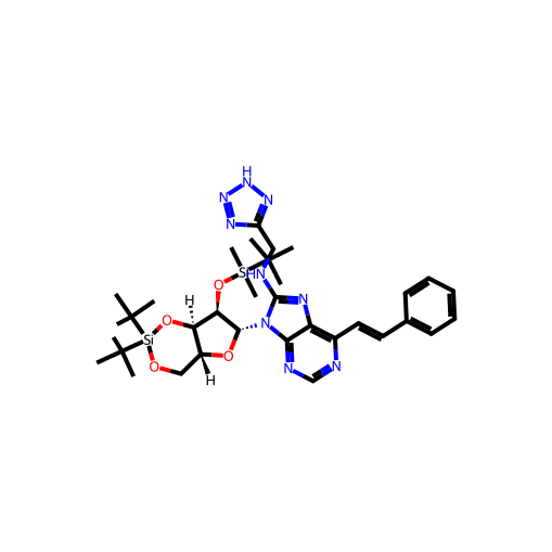 CC(C)(C)[Si](C)(C)O[C@@H]1[C@@H]2O[Si](C(C)(C)C)(C(C)(C)C)OC[C@H]2O[C@H]1n1c(NCc2nn[nH]n2)nc2c(/C=C/c3ccccc3)ncnc21